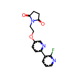 O=C1CCC(=O)N1CCOc1ccc(-c2cccnc2F)nc1